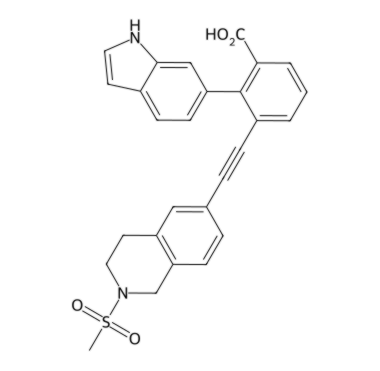 CS(=O)(=O)N1CCc2cc(C#Cc3cccc(C(=O)O)c3-c3ccc4cc[nH]c4c3)ccc2C1